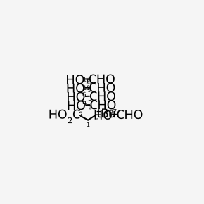 CC(C)(C)CC(=O)O.O=CO.O=CO.O=CO.O=CO.O=CO